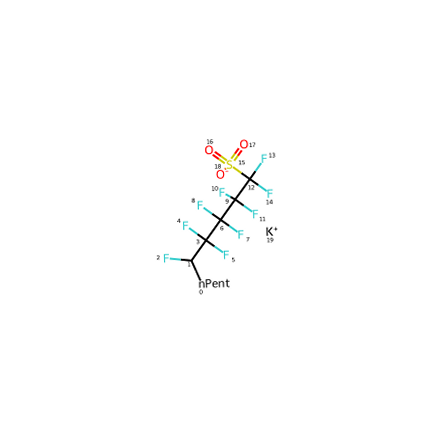 CCCCCC(F)C(F)(F)C(F)(F)C(F)(F)C(F)(F)S(=O)(=O)[O-].[K+]